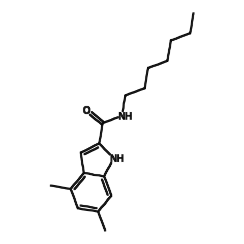 CCCCCCCNC(=O)c1cc2c(C)cc(C)cc2[nH]1